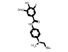 CN(CC(C)(C)C)c1ccc(NC(=O)c2cc(F)c(O)c(C=O)c2)cc1